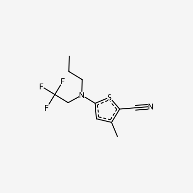 CCCN(CC(F)(F)F)c1cc(C)c(C#N)s1